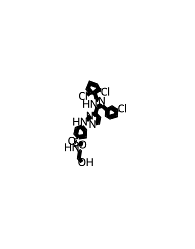 O=S(=O)(NCCO)c1ccc(Nc2nccc(-c3[nH]c(-c4c(Cl)cccc4Cl)nc3-c3cccc(Cl)c3)n2)cc1